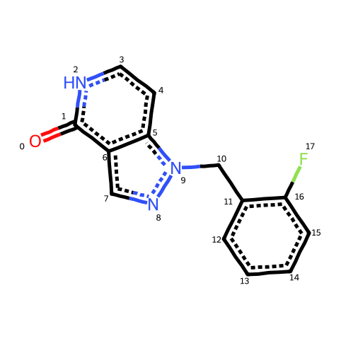 O=c1[nH]ccc2c1cnn2Cc1ccccc1F